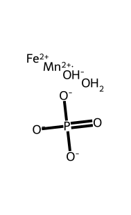 O.O=P([O-])([O-])[O-].[Fe+2].[Mn+2].[OH-]